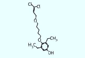 CCc1cc(O)cc(CC)c1OCCCCCOCC=C(Cl)Cl